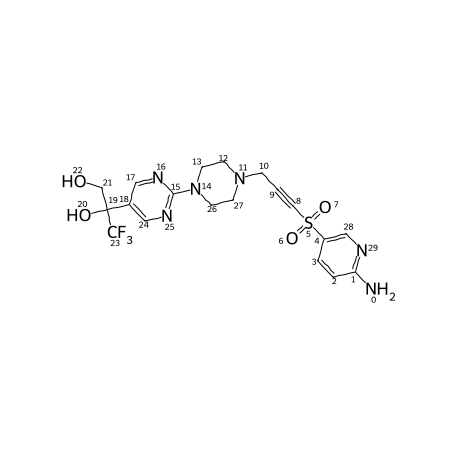 Nc1ccc(S(=O)(=O)C#CCN2CCN(c3ncc(C(O)(CO)C(F)(F)F)cn3)CC2)cn1